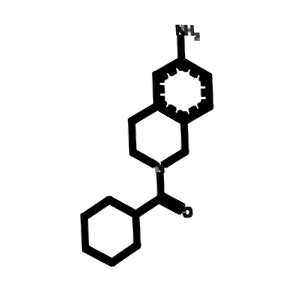 Nc1ccc2c(c1)CCN(C(=O)C1CCCCC1)C2